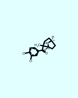 CC1(C(=O)c2ccc(Cl)c(Cl)c2)CC[C@H]2CC[C@H]1N2